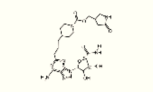 CCNC(=O)[C@H]1O[C@@H](n2cnc3c(N)nc(CCCC4CCN(C(=O)OCC5CNC(=O)C5)CC4)nc32)C(O)[C@H]1O